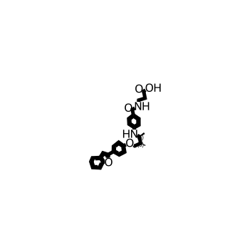 C[C@H](COc1ccc(-c2cc3ccccc3o2)cc1)[C@H](C)Nc1ccc(C(=O)NCCC(=O)O)cc1